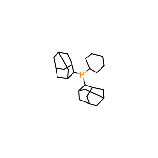 C1CCC(P(C2C3CC4CC(C3)CC2C4)C2C3CC4CC(C3)CC2C4)CC1